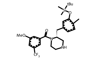 COc1cc(C(=O)N2CCNC[C@H]2Cc2ccc(C)c(O[Si](C)(C)C(C)(C)C)c2)cc(C(F)(F)F)c1